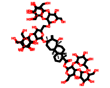 C=C1[C@H](O)[C@@]2(C)CC[C@H]3[C@@](C)(CCC[C@@]3(C)C(=O)OC3OC(CO)C(O)C(OC4OC(CO)C(O)C(O)C4O)C3OC3OC(CO)C(O)C(O)C3O)[C@@H]2CC[C@@]1(C)OC1OC(COC2OC(CO)C(O)C(OC3C=C(O)C(O)C(CO)O3)C2OC2OC(CO)C(O)C(O)C2O)C(O)C(OC2OC(CO)C(O)C(O)C2O)C1OC1OC(CO)C(O)C(O)C1O